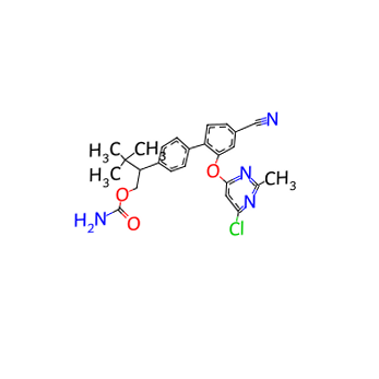 Cc1nc(Cl)cc(Oc2cc(C#N)ccc2-c2ccc(C(COC(N)=O)C(C)(C)C)cc2)n1